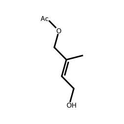 CC(=O)OC/C(C)=C/CO